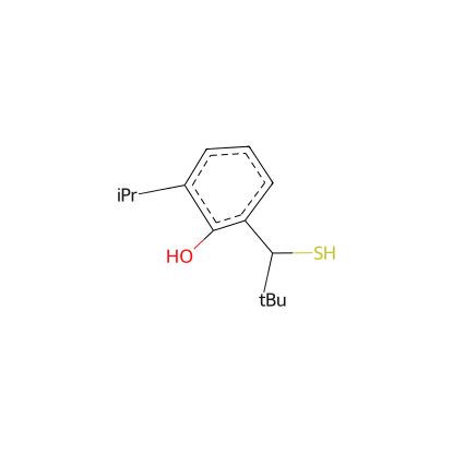 CC(C)c1cccc(C(S)C(C)(C)C)c1O